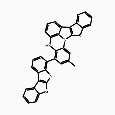 Cc1cc(-c2cccc3c2[nH]c2sc4ccccc4c23)c2c(c1)-n1c3sc4ccccc4c3c3cccc(c31)B2